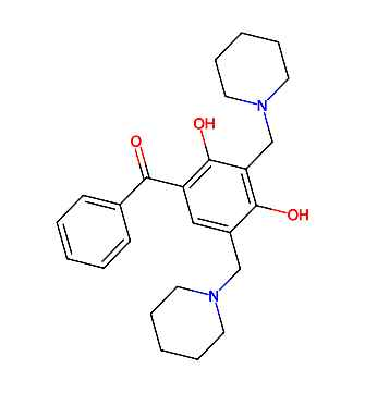 O=C(c1ccccc1)c1cc(CN2CCCCC2)c(O)c(CN2CCCCC2)c1O